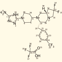 Nc1nnc(N2CCC(N3C[C@@H]4CC(F)(F)CN4C[C@@H]3Cc3ccc(C(F)(F)F)cc3)CC2)[nH]1.O=C(O)C(F)(F)F